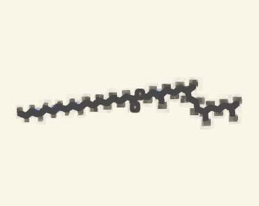 CC/C=C/C/C=C/C/C=C/CCCCCCCC(=O)OC/C=C(\C)CCCC(C)CCCC(C)CCCC(C)C